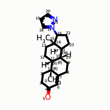 C[C@]12CCC(=O)C=C1CC[C@@H]1[C@H]2CC[C@]2(C)C(n3cccn3)CC[C@@H]12